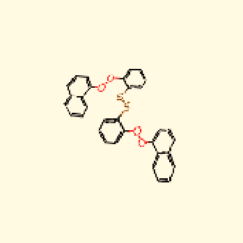 c1ccc(SSc2ccccc2OOc2cccc3ccccc23)c(OOc2cccc3ccccc23)c1